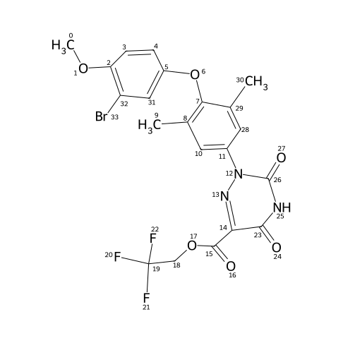 COc1ccc(Oc2c(C)cc(-n3nc(C(=O)OCC(F)(F)F)c(=O)[nH]c3=O)cc2C)cc1Br